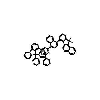 CC1(C)c2cccc(-c3ccc(-c4cc(-c5cccc6c5C(c5ccccc5)(c5ccccc5)c5ccccc5-6)nc(-c5ccccc5)n4)c4ccccc34)c2-c2ccc3ccccc3c21